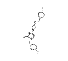 O=c1nc(N2CC(OCc3ccc(F)cc3)C2)ncn1Cc1ccc(Cl)cc1